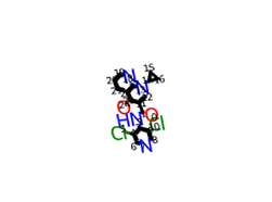 O=C(Nc1c(Cl)cncc1Cl)c1cn(C2CC2)c2ncccc2c1=O